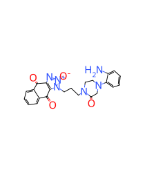 Nc1ccccc1N1CCN(CCCn2c3c(n[n+]2[O-])C(=O)c2ccccc2C3=O)C(=O)C1